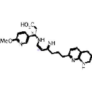 COc1ccc([C@H](CC(=O)O)N/C=C\C(=N)CCCc2ccc3c(n2)NCCC3)cn1